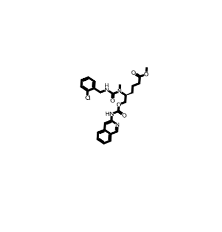 COC(=O)CCC[C@@H](COC(=O)Nc1cc2ccccc2cn1)N(C)C(=O)NCc1ccccc1Cl